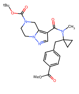 COC(=O)c1ccc(CC2(N(C)C(=O)c3cnn4c3CN(C(=O)OC(C)(C)C)CC4)CC2)cc1